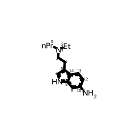 CCCN(CC)CCc1c[nH]c2cc(N)ccc12